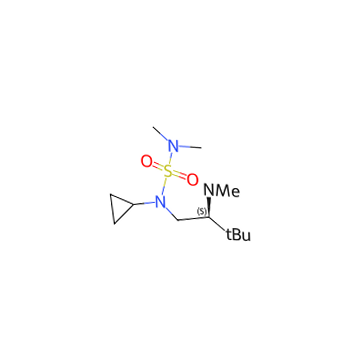 CN[C@H](CN(C1CC1)S(=O)(=O)N(C)C)C(C)(C)C